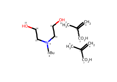 C=C(C)C(=O)O.C=C(C)C(=O)O.CCCCN(CCO)CCO